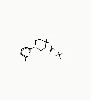 CC1(NC(=O)OC(C)(C)C)CCN(c2cccc(Cl)n2)CC1